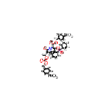 CC(OC(=O)OCc1ccc([N+](=O)[O-])cc1)[C@H]1C(=O)N2C(C(=O)OCc3ccc([N+](=O)[O-])cc3)=C(OP(=O)(c3ccccc3)c3ccccc3)C[C@H]12